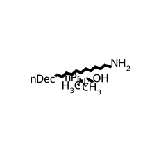 CCCCCCCCCCCCCCCCCCCCCCN.CCC[N+](C)(C)CCO